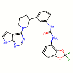 O=C(Nc1cccc(C2CCCN(c3ncnc4[nH]ccc34)C2)c1)Nc1cccc2c1OC(F)(F)O2